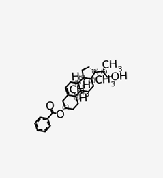 C[C@H](CO)[C@H]1CC[C@H]2[C@@H]3CC=C4C[C@@H](OC(=O)c5ccccc5)CC[C@]4(C)[C@H]3CC[C@]12C